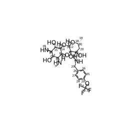 CN[C@@H]1[C@H](O)[C@H](NC)[C@H]2OC3(O)[C@H](O[C@@H]2[C@H]1O)O[C@H](C)C[C@]3(O)CNCc1ccc(OC(F)(F)F)cc1